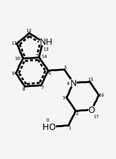 OCC1CN(Cc2cccc3cc[nH]c23)CCO1